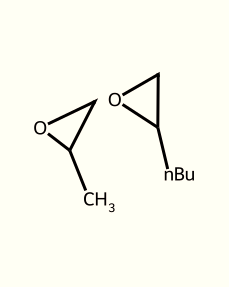 CC1CO1.CCCCC1CO1